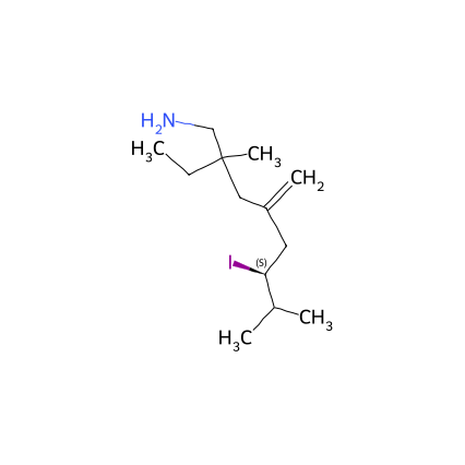 C=C(C[C@H](I)C(C)C)CC(C)(CC)CN